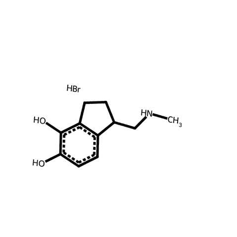 Br.CNCC1CCc2c1ccc(O)c2O